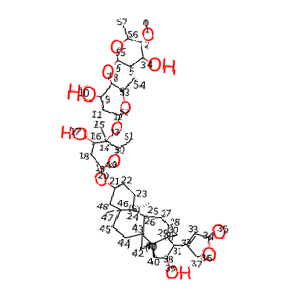 COC1C(O)CC(OC2C(O)CC(OC3(C)C(O)CC(OC4CC[C@@]5(C)C6CC[C@]7(C)C(C8=CC(=O)OC8)C(O)C[C@]78CC68CCC5(C)C4)OC3C)OC2C)OC1C